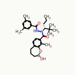 CCC[C@@H](N(NC(=O)c1cc(C)cc(C)c1)C(=O)c1ccc2c(c1C)OB(O)CCC2)C(C)(C)C